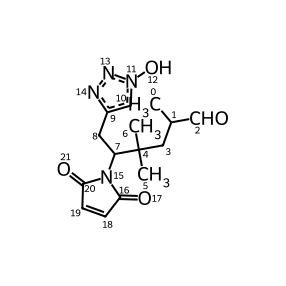 CC(C=O)CC(C)(C)C(Cc1cn(O)nn1)N1C(=O)C=CC1=O